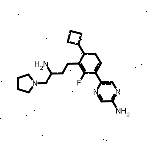 Nc1cnc(C2=CCC(C3CCC3)C(CCC(N)CN3CCCC3)=C2F)cn1